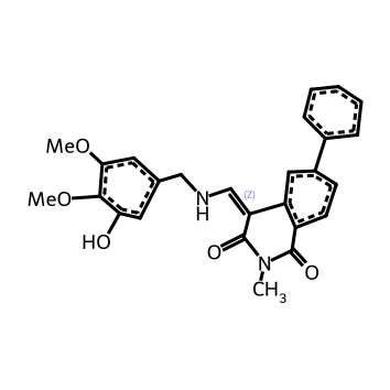 COc1cc(CN/C=C2\C(=O)N(C)C(=O)c3ccc(-c4ccccc4)cc32)cc(O)c1OC